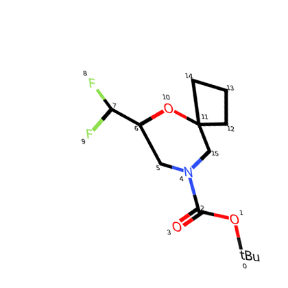 CC(C)(C)OC(=O)N1CC(C(F)F)OC2(CCC2)C1